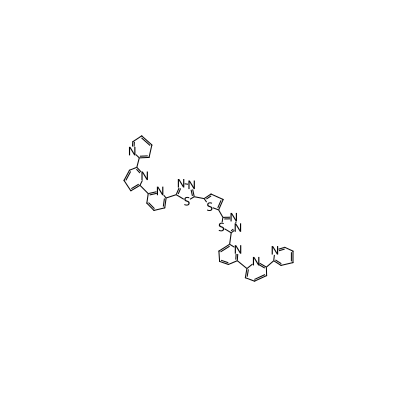 c1ccc(-c2cccc(-c3cccc(-c4nnc(-c5ccc(-c6nnc(-c7cccc(-c8cccc(-c9ccccn9)n8)n7)s6)s5)s4)n3)n2)nc1